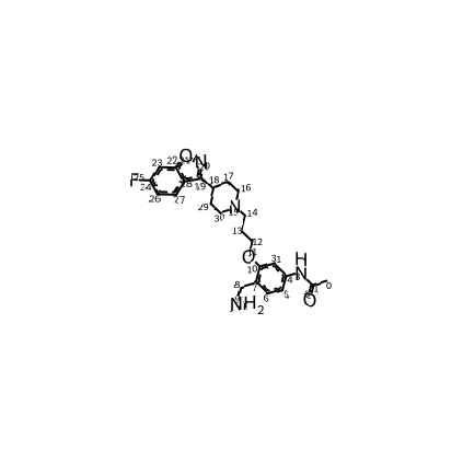 CC(=O)Nc1ccc(CN)c(OCCCN2CCC(c3noc4cc(F)ccc34)CC2)c1